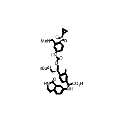 CCCCOC[C@@H](COC(=O)Nc1ccc(S(=O)(=O)C2CC2)c(CNC)c1)c1ccc(C(Nc2ccc3cc[nH]c(=O)c3c2)C(=O)O)cc1C